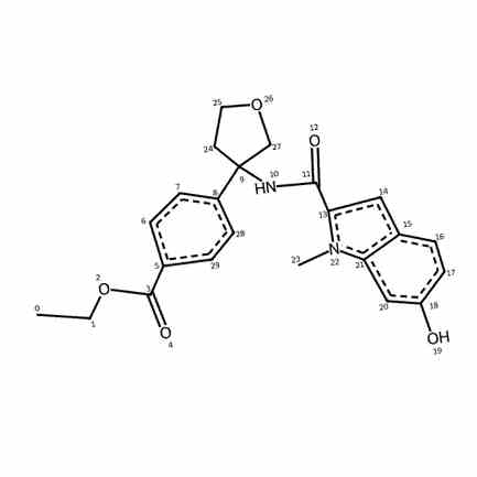 CCOC(=O)c1ccc(C2(NC(=O)c3cc4ccc(O)cc4n3C)CCOC2)cc1